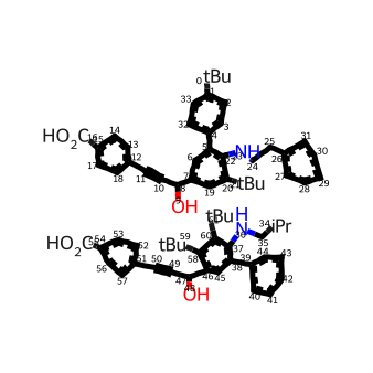 CC(C)(C)c1ccc(-c2cc(C(O)C#Cc3ccc(C(=O)O)cc3)cc(C(C)(C)C)c2NCCc2ccccc2)cc1.CC(C)CNc1c(-c2ccccc2)cc(C(O)C#Cc2ccc(C(=O)O)cc2)c(C(C)(C)C)c1C(C)(C)C